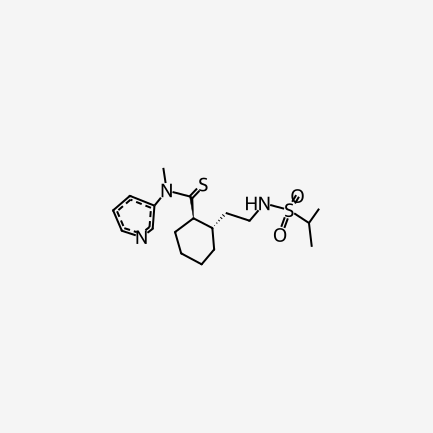 CC(C)S(=O)(=O)NCC[C@@H]1CCCC[C@H]1C(=S)N(C)c1cccnc1